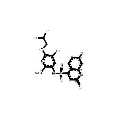 COc1nc(OCC(F)F)c(F)cc1NS(=O)(=O)c1cc(=O)[nH]c2cc(Cl)ccc12